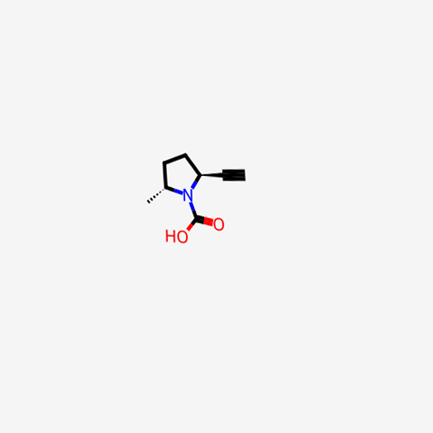 C#C[C@@H]1CC[C@@H](C)N1C(=O)O